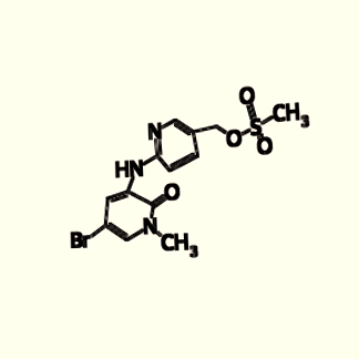 Cn1cc(Br)cc(Nc2ccc(COS(C)(=O)=O)cn2)c1=O